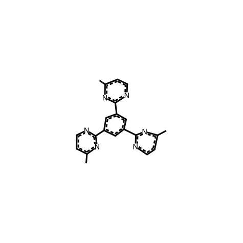 Cc1ccnc(-c2cc(-c3nccc(C)n3)cc(-c3nccc(C)n3)c2)n1